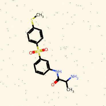 CSc1ccc(S(=O)(=O)c2cccc(NC(=O)C(C)N)c2)cc1